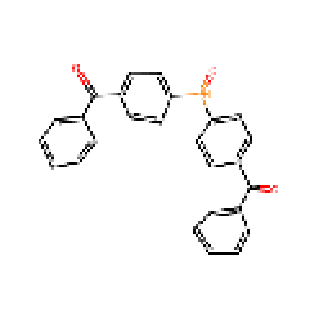 O=C(c1ccccc1)c1ccc([PH](=O)c2ccc(C(=O)c3ccccc3)cc2)cc1